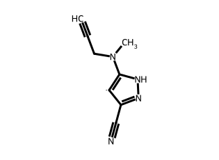 C#CCN(C)c1[c]c(C#N)n[nH]1